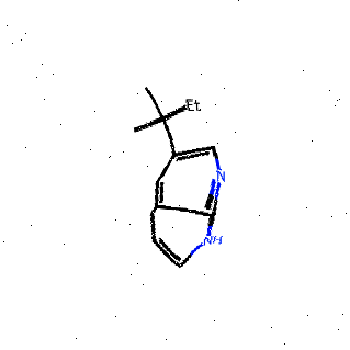 CCC(C)(C)c1cnc2[nH]ccc2c1